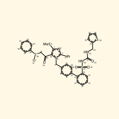 CSc1nc(C(C)C)n(Cc2ccc(-c3ccccc3S(=O)(=O)NC(=O)NCc3cccs3)cc2)c1C(=O)C[S+]([O-])c1ccccc1